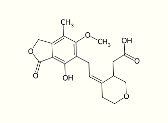 COc1c(C)c2c(c(O)c1CC=C1CCOCC1CC(=O)O)C(=O)OC2